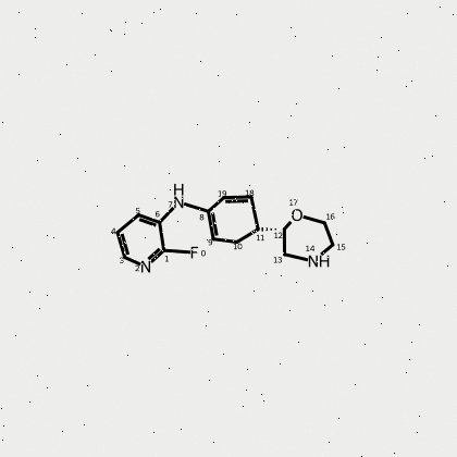 Fc1ncccc1NC1=CCC([C@H]2CNCCO2)C=C1